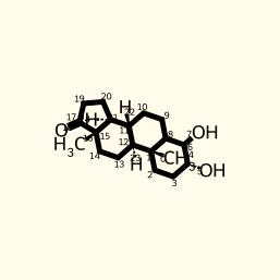 C[C@]12CC[C@@H](O)C(O)C1CC[C@@H]1[C@@H]2CC[C@]2(C)C(=O)CC[C@@H]12